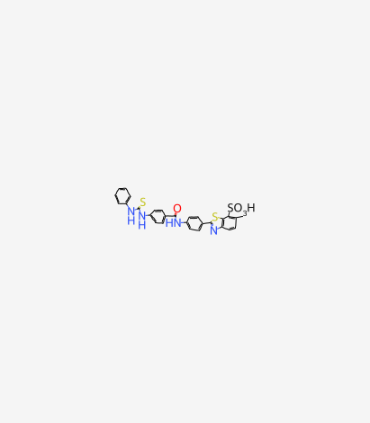 Cc1ccc2nc(-c3ccc(NC(=O)c4ccc(NC(=S)Nc5ccccc5)cc4)cc3)sc2c1S(=O)(=O)O